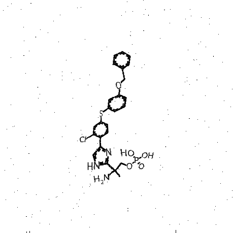 CC(N)(COP(=O)(O)O)c1nc(-c2ccc(Sc3cccc(OCc4ccccc4)c3)cc2Cl)c[nH]1